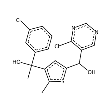 Cc1sc(C(O)c2cncnc2Cl)cc1C(C)(O)c1cccc(Cl)c1